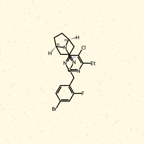 CCc1ncnc(N2[C@@H]3CC[C@H]2C/C(=N/OCc2ccc(Br)cc2F)C3)c1Cl